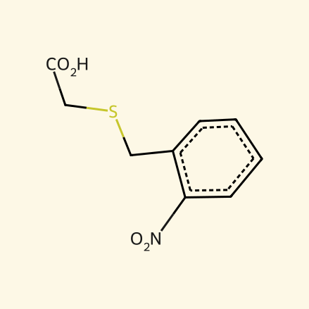 O=C(O)CSCc1ccccc1[N+](=O)[O-]